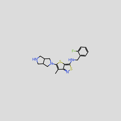 Cc1c(N2CC3CNCC3C2)sc2c(NCc3ccccc3F)snc12